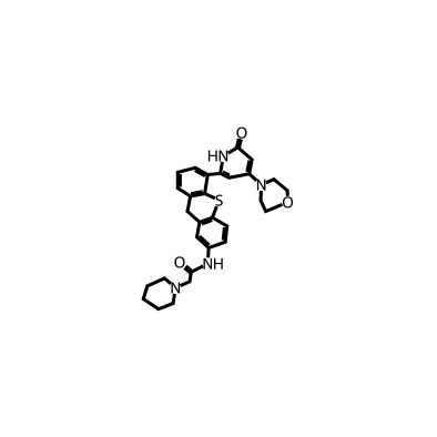 O=C(CN1CCCCC1)Nc1ccc2c(c1)Cc1cccc(-c3cc(N4CCOCC4)cc(=O)[nH]3)c1S2